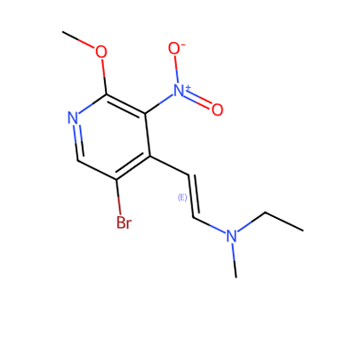 CCN(C)/C=C/c1c(Br)cnc(OC)c1[N+](=O)[O-]